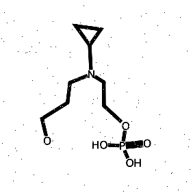 [O]CCCN(CCOP(=O)(O)O)C1CC1